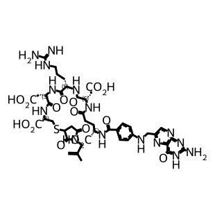 C=C(C)CN1C(=O)CC(SC[C@H](NC(=O)[C@H](CC(=O)O)NC(=O)[C@H](CCCNC(=N)N)NC(=O)[C@H](CC(=O)O)NC(=O)CC[C@H](NC(=O)c2ccc(NCc3cnc4nc(N)[nH]c(=O)c4n3)cc2)C(=O)O)C(=O)O)C1=O